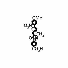 COc1ccc(-c2ccc(/C=C3/C(=O)N(c4ccc(C(=O)O)cc4)N=C3C)o2)c([N+](=O)[O-])c1